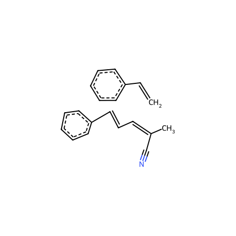 C=Cc1ccccc1.CC(C#N)=CC=Cc1ccccc1